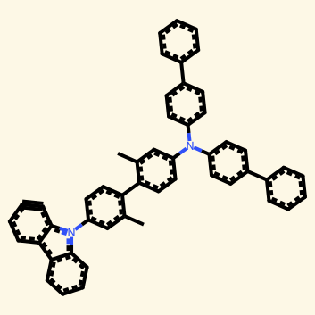 Cc1cc(N(c2ccc(-c3ccccc3)cc2)c2ccc(-c3ccccc3)cc2)ccc1-c1ccc(-n2c3c#cccc3c3ccccc32)cc1C